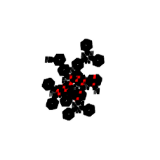 N#Cc1cccc(-c2ccc(-c3nc(-c4cccc(-c5ccccc5C#N)c4)nc(-c4ccc(-c5cccc(C#N)c5)cc4-n4c5ccc(-c6nc(-c7ccccc7)nc(-c7ccccc7)n6)cc5c5cc(-c6nc(-c7ccccc7)nc(-c7ccccc7)n6)ccc54)n3)c(-n3c4ccc(-c5nc(-c6ccccc6)nc(-c6ccccc6)n5)cc4c4cc(-c5nc(-c6ccccc6)nc(-c6ccccc6)n5)ccc43)c2)c1